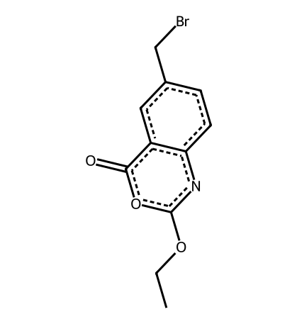 CCOc1nc2ccc(CBr)cc2c(=O)o1